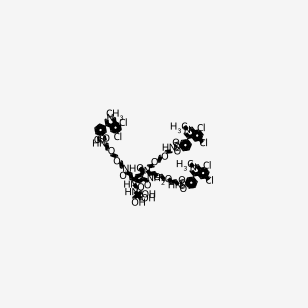 CN1Cc2c(Cl)cc(Cl)cc2[C@H](c2cccc(S(=O)(=O)NCCOCCOCCNC(=O)CCC(CCC(N)=O)(CCC(=O)N(CCOCCOCCNS(=O)(=O)c3cccc([C@@H]4CN(C)Cc5c(Cl)cc(Cl)cc54)c3)CCOCCOCCNS(=O)(=O)c3cccc([C@@H]4CN(C)Cc5c(Cl)cc(Cl)cc54)c3)NC(=O)NC(CO)(CO)CO)c2)C1